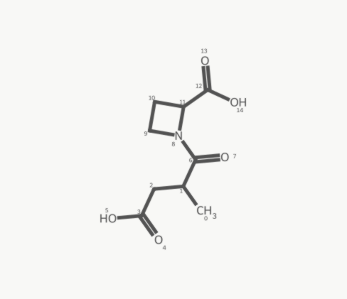 CC(CC(=O)O)C(=O)N1CCC1C(=O)O